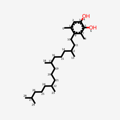 Cc1cc(O)c(O)c(C)c1CCC(C)CCCC(C)CCCC(C)CCCC(C)C